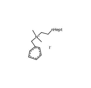 CCCCCCCCC[N+](C)(C)Cc1ccccc1.[I-]